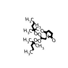 CCCC(C)(C)OOC(CN1C(=O)C=CC1=O)OOC(C)(C)CCC